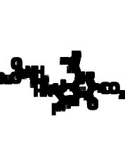 CC(C)(C)OC(=O)NCCNc1cc2c(cc1F)c(=O)c(C(=O)O)cn2C1CC1